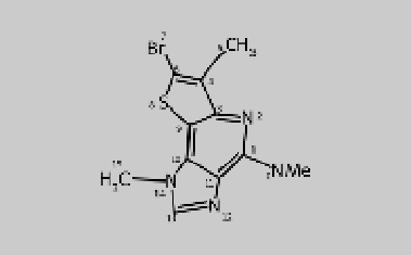 CNc1nc2c(C)c(Br)sc2c2c1ncn2C